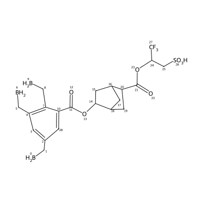 BCc1cc(CB)c(CB)c(C(=O)OC2CC3CC2CC3C(=O)OC(CS(=O)(=O)O)C(F)(F)F)c1